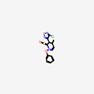 CC1C=CN(Oc2ccccc2)C(=C=O)C1c1nsnc1Cl